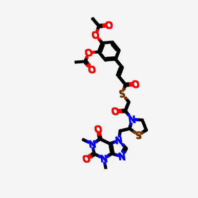 CC(=O)Oc1ccc(C=CC(=O)SCC(=O)N2CCSC2Cn2cnc3c2c(=O)n(C)c(=O)n3C)cc1OC(C)=O